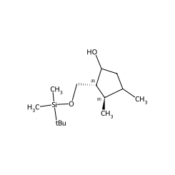 CC1CC(O)[C@@H](CO[Si](C)(C)C(C)(C)C)[C@@H]1C